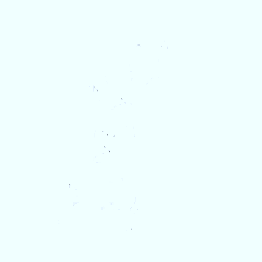 CCOc1ccc(-c2cncc(C(=O)NN=Cc3cc(F)cc(OC)c3)n2)cc1